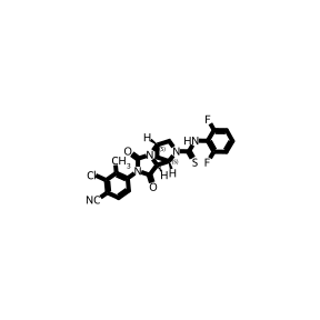 Cc1c(N2C(=O)[C@@H]3[C@@H]4C[C@@H](CN4C(=S)Nc4c(F)cccc4F)N3C2=O)ccc(C#N)c1Cl